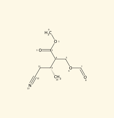 COC(=O)C(COC=O)[C@H](C)CC#N